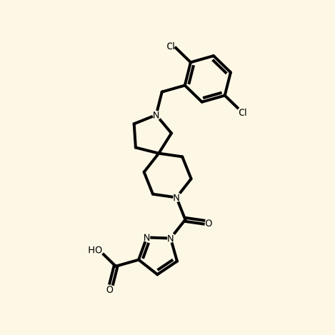 O=C(O)c1ccn(C(=O)N2CCC3(CCN(Cc4cc(Cl)ccc4Cl)C3)CC2)n1